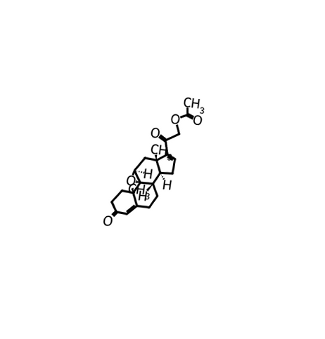 CC(=O)OCC(=O)C1=CC[C@H]2[C@@H]3CCC4=CC(=O)CC[C@]4(C)[C@@]34O[C@H]4C[C@]12C